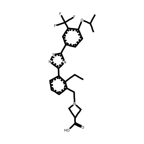 CCc1c(CN2CC(C(=O)O)C2)cccc1-c1nsc(-c2ccc(OC(C)C)c(C(F)(F)F)c2)n1